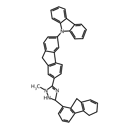 CN1NC(c2cccc3c2CC2=C3CCC=C2)N=C1c1ccc2c(c1)Cc1ccc(-n3c4ccccc4c4ccccc43)cc1-2